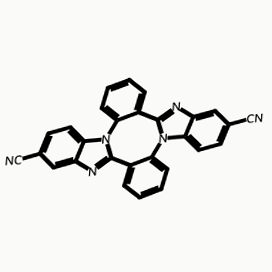 N#Cc1ccc2c(c1)nc1c3ccccc3n3c4ccc(C#N)cc4nc3c3ccccc3n21